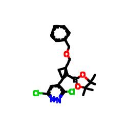 CC1(C)OB(C2C3(COCc4ccccc4)CC2(c2cc(Cl)nnc2Cl)C3)OC1(C)C